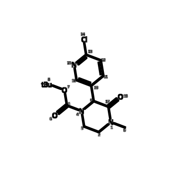 CN1CCN(C(=O)OC(C)(C)C)C(c2ccc(Cl)nc2)C1=O